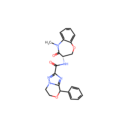 CN1C(=O)[C@@H](NC(=O)c2nc3n(n2)CCOC3c2ccccc2)COc2ccccc21